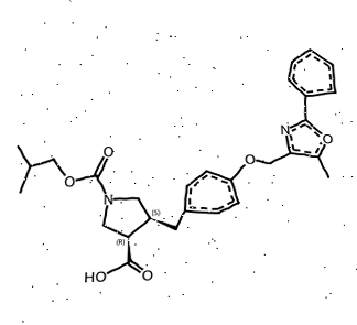 Cc1oc(-c2ccccc2)nc1COc1ccc(C[C@@H]2CN(C(=O)OCC(C)C)C[C@@H]2C(=O)O)cc1